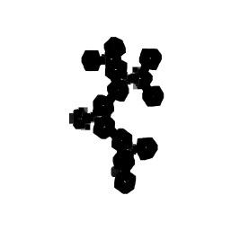 c1ccc(-c2cc(-c3ccccc3)nc(-n3c4ccc(-c5ccc6c(c5)c5cc(-c7ccc8c(c7)c7cc9oc%10ccccc%10c9cc7n8-c7ccccc7)ccc5n6-c5ncncn5)cc4c4cc5c(cc43)c3ccccc3n5-c3ccccc3)n2)cc1